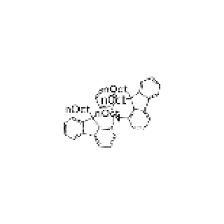 CCCCCCCCC1(CCCCCCCC)c2ccccc2-c2cccc(N(c3ccccc3)c3cccc4c3C(CCCCCCCC)(CCCCCCCC)c3ccccc3-4)c21